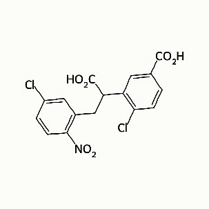 O=C(O)c1ccc(Cl)c(C(Cc2cc(Cl)ccc2[N+](=O)[O-])C(=O)O)c1